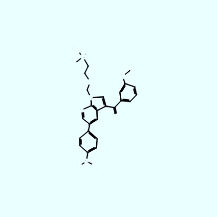 COc1cccc(C(=O)c2cn(COCC[Si](C)(C)C)c3ncc(-c4ccc(N(C)C)cc4)cc23)c1